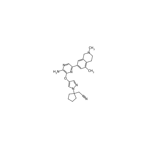 Cc1cc(-c2cnc(N)c(Oc3cnn(C4(CC#N)CCCC4)c3)n2)cc2c1CCN(C)C2